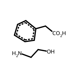 NCCO.O=C(O)Cc1ccccc1